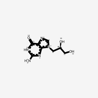 Nc1nc2c(ncn2C[C@@H](O)CO)c(=O)[nH]1